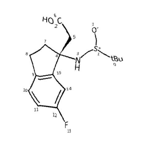 CC(C)(C)[S+]([O-])N[C@@]1(CC(=O)O)CCc2ccc(F)cc21